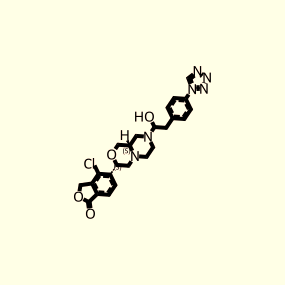 O=C1OCc2c1ccc([C@H]1CN3CCN(C(O)Cc4ccc(-n5cnnn5)cc4)C[C@H]3CO1)c2Cl